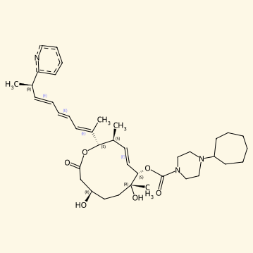 C\C(=C/C=C/C=C/[C@@H](C)c1ccccn1)[C@H]1OC(=O)C[C@H](O)CC[C@@](C)(O)[C@@H](OC(=O)N2CCN(C3CCCCCC3)CC2)/C=C/[C@@H]1C